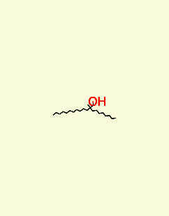 CCCCCCCCCCCC(C)(CO)CCCCCCCC